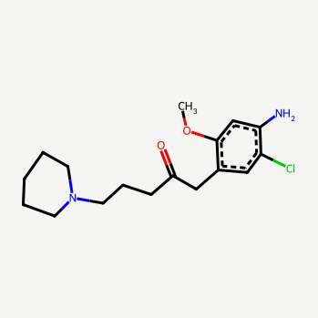 COc1cc(N)c(Cl)cc1CC(=O)CCCN1CCCCC1